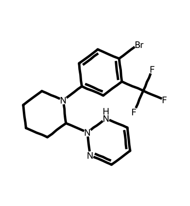 FC(F)(F)c1cc(N2CCCCC2N2N=CC=CN2)ccc1Br